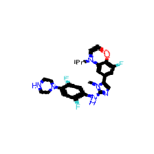 CC(C)N1CCOc2c(F)cc(-c3cnc(Nc4cc(F)c(N5CCNCC5)cc4F)n3C)cc21